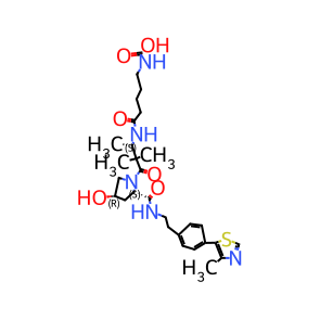 Cc1ncsc1-c1ccc(CCNC(=O)[C@@H]2C[C@@H](O)CN2C(=O)C(C)(C)[C@H](C)NC(=O)CCCCNC(=O)O)cc1